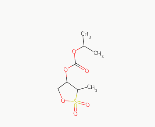 CC(C)OC(=O)OC1COS(=O)(=O)C1C